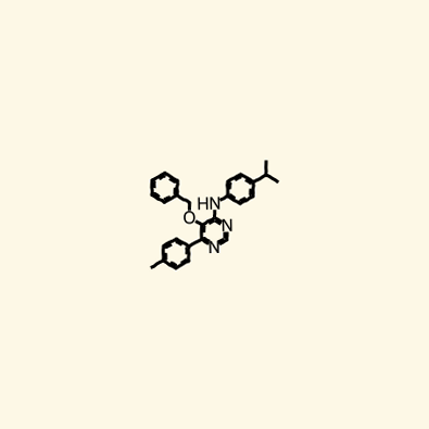 Cc1ccc(-c2ncnc(Nc3ccc(C(C)C)cc3)c2OCc2ccccc2)cc1